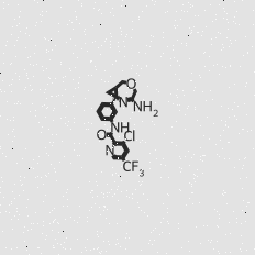 NC1=N[C@]2(c3cccc(NC(=O)c4ncc(C(F)(F)F)cc4Cl)c3)CC2COC1